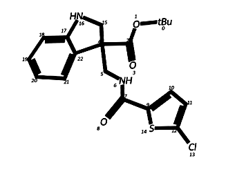 CC(C)(C)OC(=O)C1(CNC(=O)c2ccc(Cl)s2)CNc2ccccc21